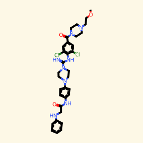 COCCN1CCN(C(=O)c2cc(Cl)c(NC(=N)N3CCN(c4ccc(NC(=O)CNc5ccccc5)cc4)CC3)c(Cl)c2)CC1